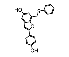 Oc1ccc(-c2cc3cc(O)cc(CSc4ccccc4)c3o2)cc1